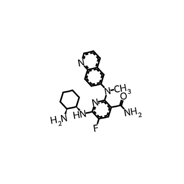 CN(c1ccc2ncccc2c1)c1nc(N[C@@H]2CCCC[C@@H]2N)c(F)cc1C(N)=O